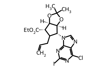 C=CCC1[C@@H](n2cnc3c(Cl)nc(I)nc32)[C@@H]2OC(C)(C)O[C@@H]2[C@H]1C(=O)OCC